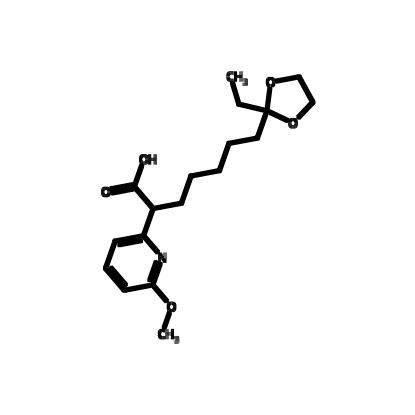 CCC1(CCCCCC(C(=O)O)c2cccc(OC)n2)OCCO1